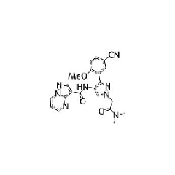 COc1ccc(C#N)cc1-c1nn(CC(=O)N(C)C)cc1NC(=O)c1cnn2cccnc12